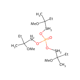 CCC(C)(OC)[SiH2]OP(=O)(O[SiH2]C(C)(CC)OC)O[SiH2]C(C)(CC)OC